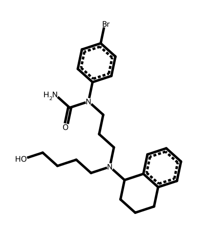 NC(=O)N(CCCN(CCCCO)C1CCCc2ccccc21)c1ccc(Br)cc1